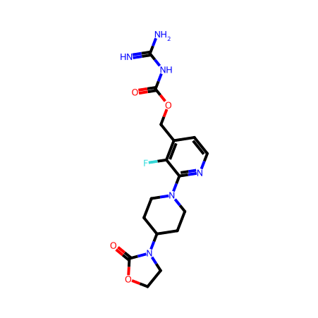 N=C(N)NC(=O)OCc1ccnc(N2CCC(N3CCOC3=O)CC2)c1F